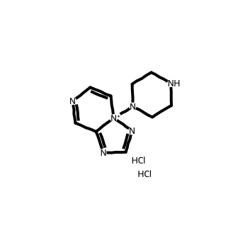 C1=C[N+]2(N3CCNCC3)N=CN=C2C=N1.Cl.Cl